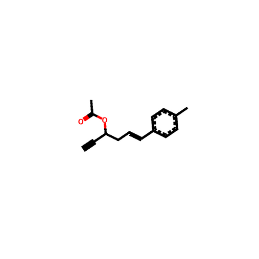 C#CC(CC=Cc1ccc(C)cc1)OC(C)=O